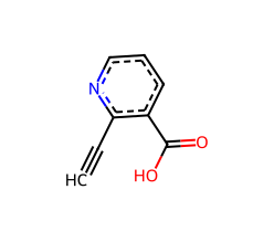 C#Cc1ncccc1C(=O)O